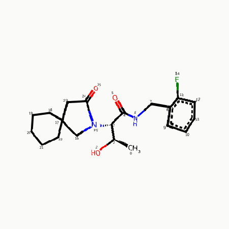 C[C@@H](O)[C@@H](C(=O)NCc1ccccc1F)N1CC2(CCCCC2)CC1=O